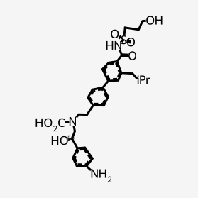 CC(C)Cc1cc(-c2ccc(CCN(C[C@H](O)c3ccc(N)cc3)C(=O)O)cc2)ccc1C(=O)NS(=O)(=O)CCCO